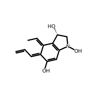 C=C/C=c1/c(O)cc2c(/c1=C/C)[C@H](O)CN2O